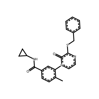 Cc1ccc(C(=O)NC2CC2)cc1-n1ccnc(SCc2ccccc2)c1=O